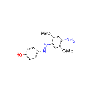 COc1cc(/N=N/c2ccc(O)cc2)c(OC)cc1N